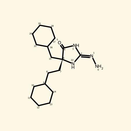 NN=C1NC(=O)[C@@](CCC2CCCCC2)(CC2CCCCC2)N1